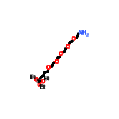 CCO[Si](CCCCOCCOCCOCCOCCOCCN)(OCC)OCC